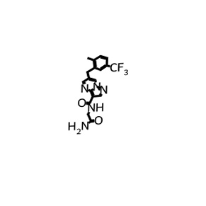 Cc1ccc(C(F)(F)F)cc1Cc1cnc2c(C(=O)NCC(N)=O)cnn2c1